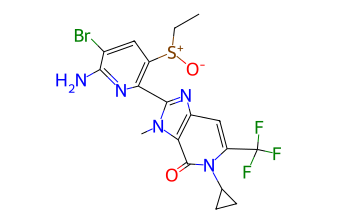 CC[S+]([O-])c1cc(Br)c(N)nc1-c1nc2cc(C(F)(F)F)n(C3CC3)c(=O)c2n1C